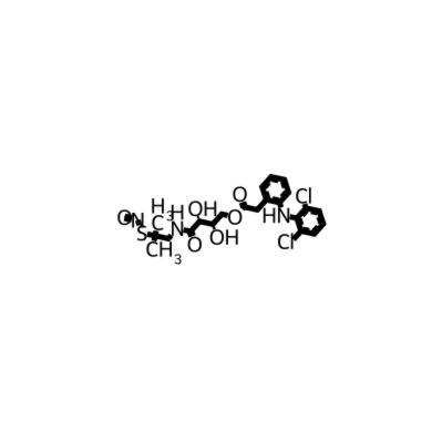 CC(C)(CNC(=O)[C@H](O)[C@H](O)COC(=O)Cc1ccccc1Nc1c(Cl)cccc1Cl)SN=O